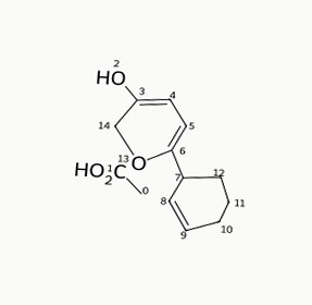 CC(=O)O.OC1=CC=C(C2C=CCCC2)OC1